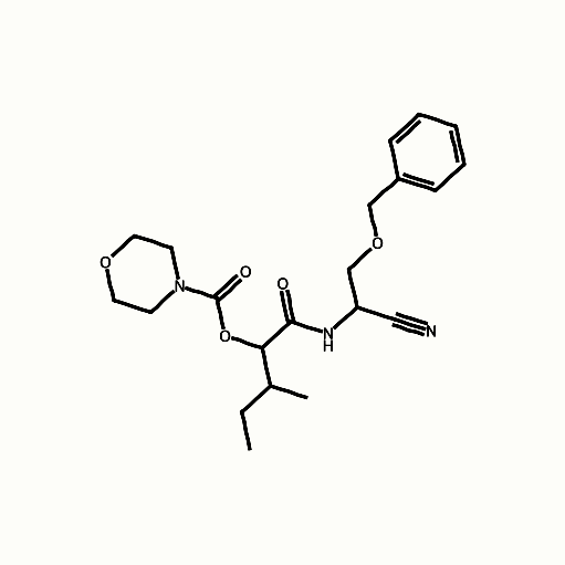 CCC(C)C(OC(=O)N1CCOCC1)C(=O)NC(C#N)COCc1ccccc1